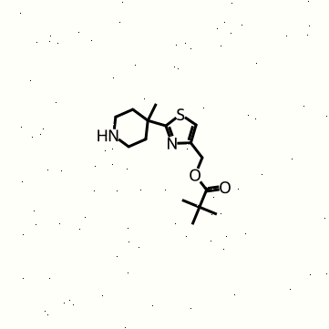 CC(C)(C)C(=O)OCc1csc(C2(C)CCNCC2)n1